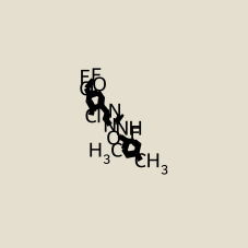 Cc1cc(C)c(C(=O)Nc2cnc(-c3cc4c(cc3Cl)OC(F)(F)O4)cn2)c(F)c1